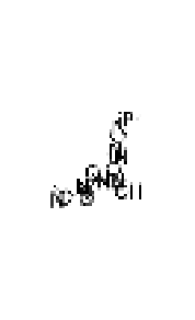 Cc1cc(-c2nc(C(=O)Nc3cc4cn(C5CCN(C(C)C)CC5)nc4cc3C(C)(C)O)co2)ccn1